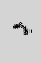 COc1nc2nc(-c3ccc(CN4CCC(c5n[nH]c(-c6ccccn6)n5)CC4)cc3)c(-c3ccccc3)cn2n1